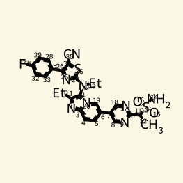 CCc1nc2ccc(-c3cnc(C(C)S(N)(=O)=O)nc3)cn2c1N(CC)c1nc(-c2ccc(F)cc2)c(C#N)s1